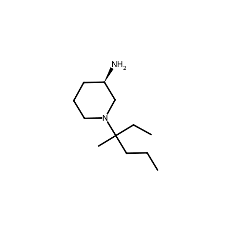 CCCC(C)(CC)N1CCC[C@@H](N)C1